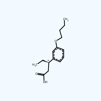 CCCCOc1cccc([C@H](CC)CC(=O)O)c1